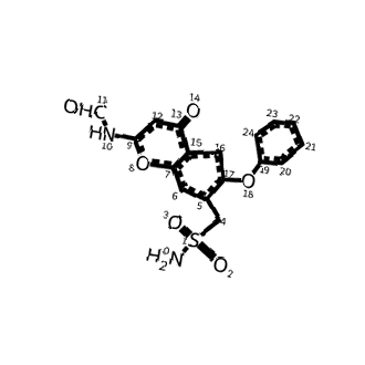 NS(=O)(=O)Cc1cc2oc(NC=O)cc(=O)c2cc1Oc1ccccc1